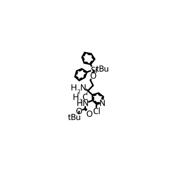 CC(C)(C)OC(=O)Nc1c([C@@](C)(N)CCO[Si](c2ccccc2)(c2ccccc2)C(C)(C)C)ccnc1Cl